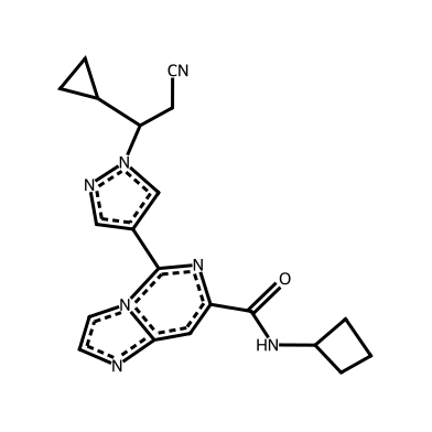 N#CCC(C1CC1)n1cc(-c2nc(C(=O)NC3CCC3)cc3nccn23)cn1